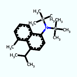 Cc1cccc2c(N([Si](C)(C)C)[Si](C)(C)C)ccc(C(C)C)c12